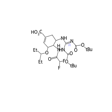 CCC(CC)OC1C=C(C(=O)O)CC(N/C(=N/C(=O)OC(C)(C)C)NC(=O)OC(C)(C)C)C1NC(=O)C(F)F